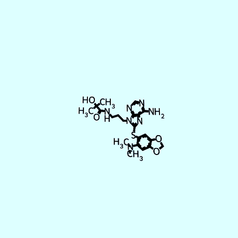 CN(C)c1cc2c(cc1Sc1nc3c(N)ncnc3n1CCCNC(=O)C(C)(C)O)OCO2